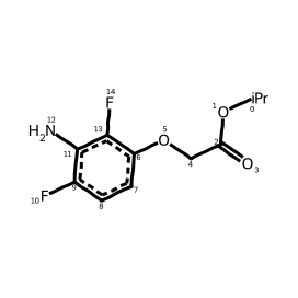 CC(C)OC(=O)COc1ccc(F)c(N)c1F